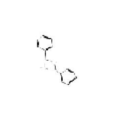 CCO.c1ccc(COCc2ccccc2)cc1